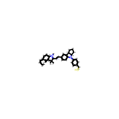 C[N+]1=C(/C=C/c2ccc3c(c2)C2CCCC2N3c2ccc(CS)cc2)C(C)(C)c2c1ccc1ccccc21